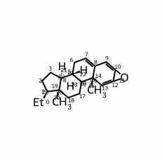 CC[C@H]1CC[C@H]2[C@@H]3CC=C4C=C5OC5=C[C@]4(C)[C@H]3CC[C@]12C